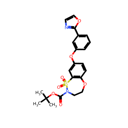 CC(C)(C)OC(=O)N1CCOc2ccc(Oc3cccc(-c4ncco4)c3)cc2S1(=O)=O